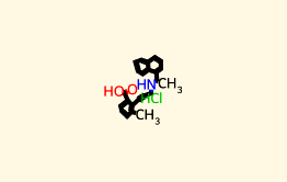 Cc1cccc(C(=O)O)c1C#CCNC(C)c1cccc2ccccc12.Cl